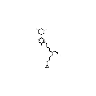 C\C=C/C(=C\C=C\Cc1cc([C@H]2C[C@@H](C)C[C@@H](CC)C2)ccc1Cl)CCCCC1CC1